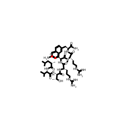 CC(C)C[C@H](C)C(=O)N[C@H](C(=O)N[C@H](C(=O)N[C@@H](CCCNC(=N)N)C(=O)N[C@@H](CCC(N)=O)C(=O)N(C)[C@@H](CCCNC(=N)N)C(=O)N[C@@H](Cc1ccc2ccccc2c1)C(N)=O)[C@@H](C)O)C(C)C